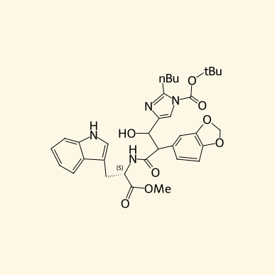 CCCCc1nc(C(O)C(C(=O)N[C@@H](Cc2c[nH]c3ccccc23)C(=O)OC)c2ccc3c(c2)OCO3)cn1C(=O)OC(C)(C)C